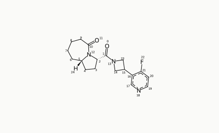 O=C([C@@H]1CC[C@@H]2CCCCC(=O)N21)N1CC(c2cnccc2F)C1